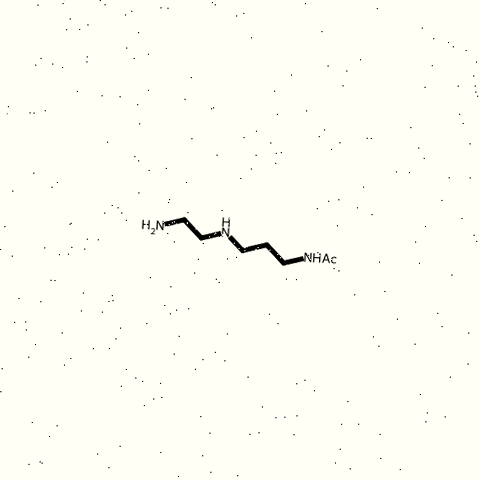 CC(=O)NCCCNCCN